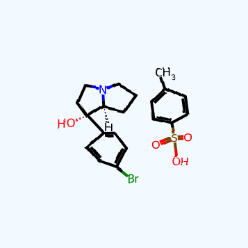 Cc1ccc(S(=O)(=O)O)cc1.O[C@]1(c2ccc(Br)cc2)CCN2CCC[C@H]21